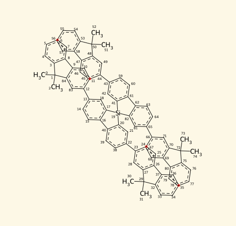 CC1(C)c2ccccc2-c2ccc(-c3ccc4c(c3)[Si]3(c5cc(-c6ccc7c(c6)C(C)(C)c6ccccc6-7)ccc5-4)c4cc(-c5ccc6c(c5)C(C)(C)c5ccccc5-6)ccc4-c4ccc(-c5ccc6c(c5)C(C)(C)c5ccccc5-6)cc43)cc21